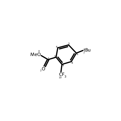 COC(=O)c1ccc(C(C)(C)C)cc1C(F)(F)F